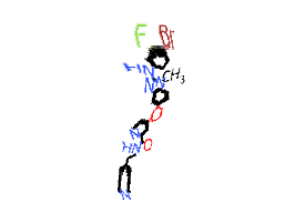 Cn1c(Nc2ccc(Br)c(F)c2)nc2cc(Oc3ccnc(C(=O)NCCc4ccncc4)c3)ccc21